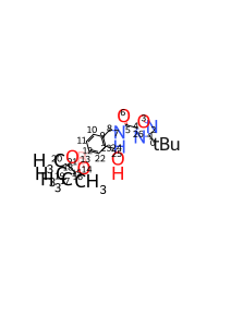 CC(C)(C)c1noc(C(=O)NCc2ccc(B3OC(C)(C)C(C)(C)O3)cc2CO)n1